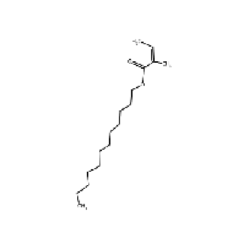 CC=C(C)C(=O)OCCCCCCCCCCCC